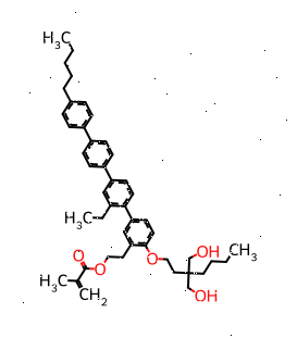 C=C(C)C(=O)OCCc1cc(-c2ccc(-c3ccc(-c4ccc(CCCCC)cc4)cc3)cc2CC)ccc1OCCC(CO)(CO)CCCC